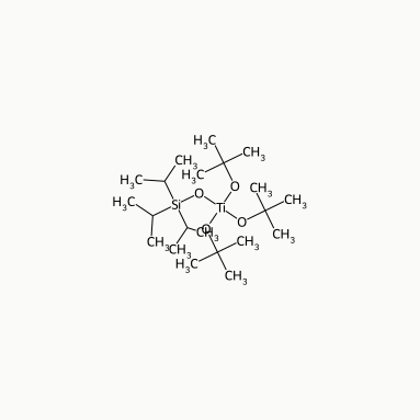 CC(C)[Si]([O][Ti]([O]C(C)(C)C)([O]C(C)(C)C)[O]C(C)(C)C)(C(C)C)C(C)C